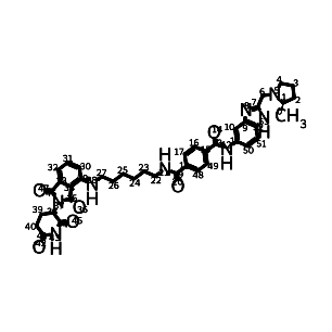 C[C@H]1CCCN1Cc1nc2cc(NC(=O)c3ccc(C(=O)NCCCCCCNc4cccc5c4C(=O)N(C4CCC(=O)NC4=O)C5=O)cc3)ccc2[nH]1